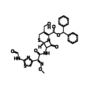 CON=C(C(=O)NC1C(=O)N2C(C(=O)OC(c3ccccc3)c3ccccc3)=C(CO)CS[C@@H]12)c1csc(NC=O)n1